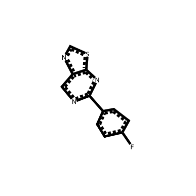 Fc1ccc(-c2ncc3ncsc3n2)cc1